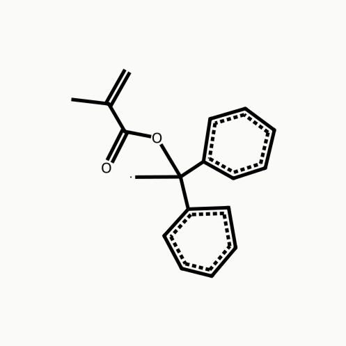 [CH2]C(OC(=O)C(=C)C)(c1ccccc1)c1ccccc1